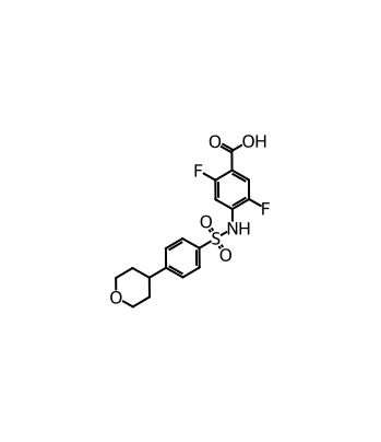 O=C(O)c1cc(F)c(NS(=O)(=O)c2ccc(C3CCOCC3)cc2)cc1F